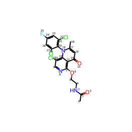 CC(=O)NCCOc1ncc(Cl)c2c1c(=O)cc(C)n2-c1c(Cl)cc(F)cc1Cl